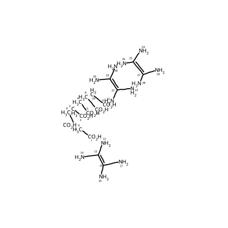 CC(=O)O.CC(=O)O.CC(=O)O.CC(=O)O.CC(=O)O.CC(=O)O.NC(N)=C(N)N.NC(N)=C(N)N.NC(N)=C(N)N